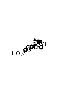 O=C(O)c1ccc2c(c1)Oc1cnc(OCc3c(-c4c(Cl)cccc4Cl)noc3C3CC3)cc1CC2